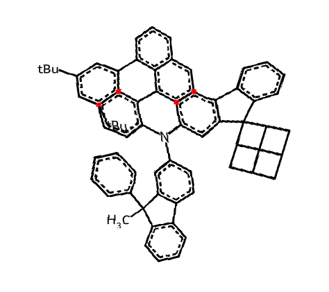 CC(C)(C)c1cc(-c2cccc3cccc(-c4ccccc4N(c4ccc5c(c4)C(C)(c4ccccc4)c4ccccc4-5)c4ccc5c(c4)C4(c6ccccc6-5)C5CC6CC7CC4C675)c23)cc(C(C)(C)C)c1